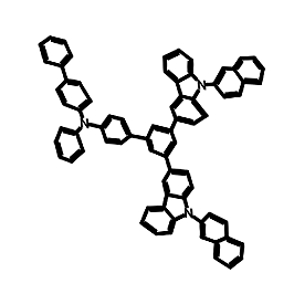 c1ccc(-c2ccc(N(c3ccccc3)c3ccc(-c4cc(-c5ccc6c(c5)c5ccccc5n6-c5ccc6ccccc6c5)cc(-c5ccc6c(c5)c5ccccc5n6-c5ccc6ccccc6c5)c4)cc3)cc2)cc1